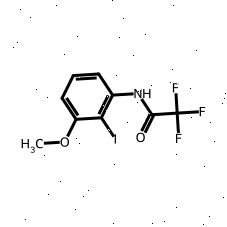 COc1cccc(NC(=O)C(F)(F)F)c1I